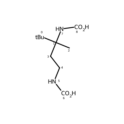 CC(C)(C)C(C)(CCNC(=O)O)NC(=O)O